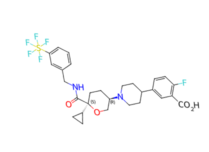 O=C(O)c1cc(C2CCN([C@@H]3CC[C@@](C(=O)NCc4cccc(S(F)(F)(F)(F)F)c4)(C4CC4)OC3)CC2)ccc1F